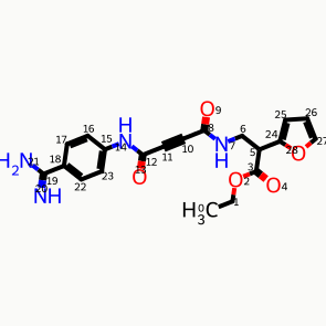 CCOC(=O)C(CNC(=O)C#CC(=O)Nc1ccc(C(=N)N)cc1)c1ccco1